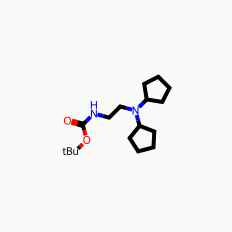 CC(C)(C)OC(=O)NCCN(C1CCCC1)C1CCCC1